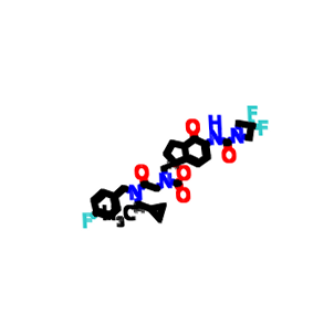 C[C@H](C1CC1)N(Cc1ccc(F)cc1)C(=O)CN1C[C@]2(CCC3C(=O)C(NC(=O)N4CC(F)(F)C4)=CC=C32)OC1=O